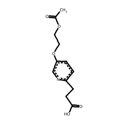 CC(=O)OCCOc1ccc(CCC(=O)O)nc1